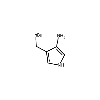 CCCCCc1c[nH]cc1N